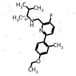 CCOc1ccc(-c2ccc(F)c(CN[C@H](C)C(C)C)n2)c(C)c1